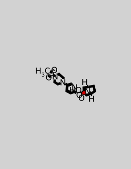 CS(=O)(=O)N1CCN(c2ccc(O[C@@H]3C[C@H]4CC[C@@H](C3)N4C(=O)O)nc2)CC1